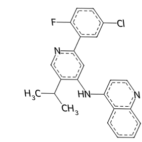 CC(C)c1cnc(-c2cc(Cl)ccc2F)cc1Nc1ccnc2ccccc12